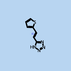 C(=C\c1cccs1)/c1nnn[nH]1